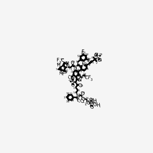 CC(C)(C#Cc1ccc(-c2ccc(Cl)c3c(C(C(=O)CCCN(C(=O)OCOP(=O)(O)O)[C@@H](C(=O)O)c4ccccc4)S(C)(=O)=O)nn(CC(F)(F)F)c23)c([C@H](Cc2cc(F)cc(F)c2)NC(=O)Cn2nc(C(F)(F)F)c3c2C(F)(F)[C@@H]2C[C@H]32)n1)S(C)(=O)=O